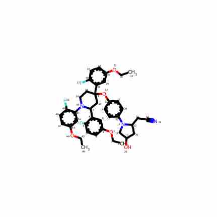 CCOc1ccc(F)c(C2CC(Oc3ccc(N4CC(O)CC4CC#N)cc3)(c3cc(OCC)ccc3F)CCN2c2cc(OCC)ccc2F)c1